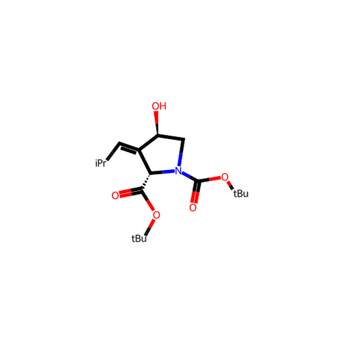 CC(C)/C=C1\[C@@H](C(=O)OC(C)(C)C)N(C(=O)OC(C)(C)C)C[C@@H]1O